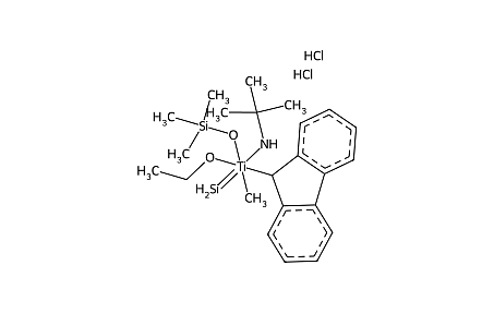 CC[O][Ti]([CH3])(=[SiH2])([NH]C(C)(C)C)([O][Si](C)(C)C)[CH]1c2ccccc2-c2ccccc21.Cl.Cl